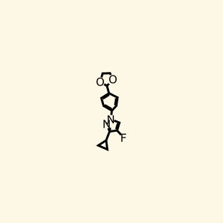 Fc1cn(-c2ccc(C3OCCO3)cc2)nc1C1CC1